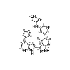 CCC(=O)Nc1cncc(-c2cnc3[nH]nc(-c4nc5c(-c6ccoc6)ccnc5[nH]4)c3c2F)c1